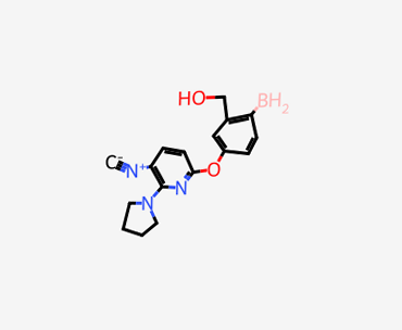 Bc1ccc(Oc2ccc([N+]#[C-])c(N3CCCC3)n2)cc1CO